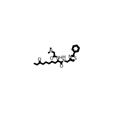 CCC(=O)CCCCCC(NC(=O)CN(C)C)C(=O)NCc1csc(-c2ccccc2)n1